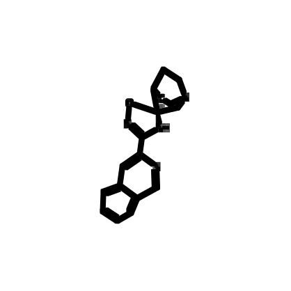 c1ccc2cc(C3=NO[C@]4(CN5CCC4CC5)N3)ncc2c1